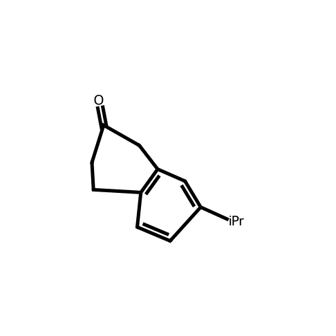 CC(C)c1ccc2c(c1)CC(=O)CC2